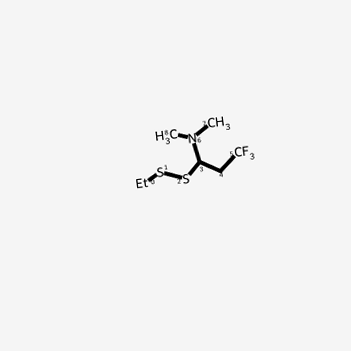 CCSSC(CC(F)(F)F)N(C)C